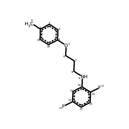 Cc1ccc(OCCCNc2cc(F)ccc2F)cc1